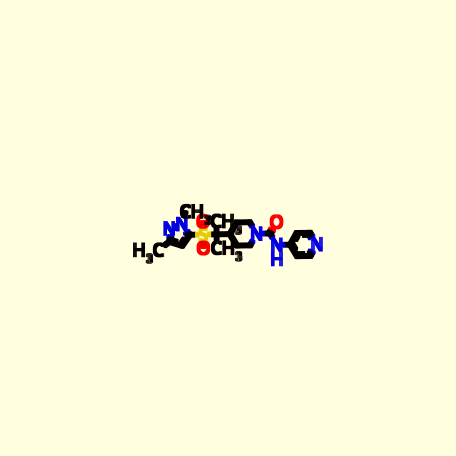 Cc1cc(S(=O)(=O)C(C)(C)C2CCN(C(=O)Nc3ccncc3)CC2)n(C)n1